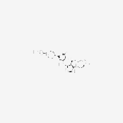 Cc1nc(C2CCN(C3CNC3)CC2)cc2c1OC(C)c1c(ncnc1N1CCS(=O)(=O)CC1)N2